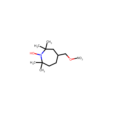 CC1(C)CCC(CO[N+](=O)[O-])CC(C)(C)N1O